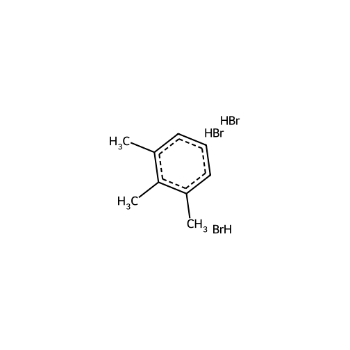 Br.Br.Br.Cc1cccc(C)c1C